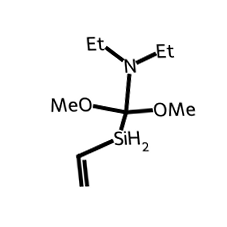 C=C[SiH2]C(OC)(OC)N(CC)CC